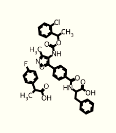 CC(C(=O)O)c1ccc(F)cc1.Cc1noc(-c2ccc(C(=O)NC(Cc3ccccc3)C(=O)O)cc2)c1NC(=O)OC(C)c1ccccc1Cl